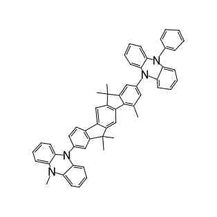 Cc1cc(N2c3ccccc3N(c3ccccc3)c3ccccc32)cc2c1-c1cc3c(cc1C2(C)C)-c1ccc(N2c4ccccc4N(C)c4ccccc42)cc1C3(C)C